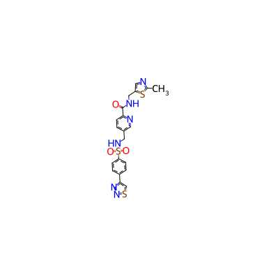 Cc1ncc(CNC(=O)c2ccc(CNS(=O)(=O)c3ccc(-c4csnn4)cc3)cn2)s1